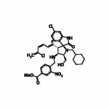 C=C(Cl)/C=C\C=C(/F)[C@H]1[C@H](NCc2ccc(C(=O)OC)cc2[N+](=O)[O-])[C@H](CO)N(CC2CCCCC2)[C@@]12C(=O)Nc1cc(Cl)ccc12